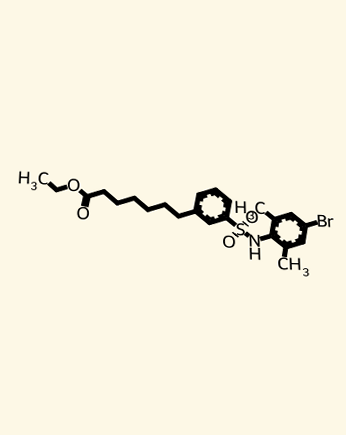 CCOC(=O)CCCCCCc1cccc(S(=O)(=O)Nc2c(C)cc(Br)cc2C)c1